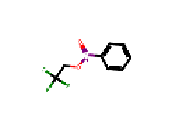 O=[PH](OCC(F)(F)F)c1ccccc1